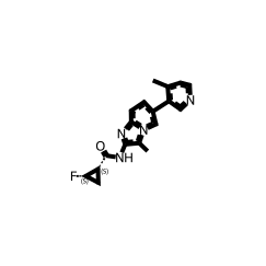 Cc1ccncc1-c1ccc2nc(NC(=O)[C@@H]3C[C@@H]3F)c(C)n2c1